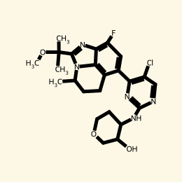 COC(C)(C)c1nc2c(F)cc(-c3nc(NC4CCOCC4O)ncc3Cl)c3c2n1C(C)CC3